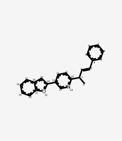 CC(C=Cc1ccccc1)c1ccc(-c2cc3ccccc3o2)cn1